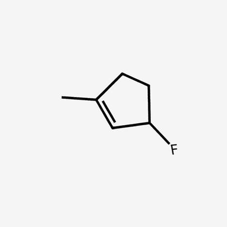 CC1=CC(F)CC1